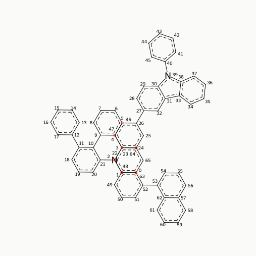 c1ccc(-c2ccccc2-c2c(-c3ccccc3)cccc2N(c2ccc(-c3ccc4c(c3)c3ccccc3n4-c3ccccc3)cc2)c2cccc(-c3cccc4ccccc34)c2)cc1